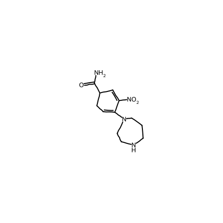 NC(=O)C1C=C([N+](=O)[O-])C(N2CCCNCC2)=CC1